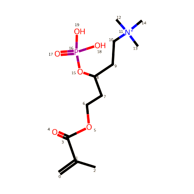 C=C(C)C(=O)OCCC(CC[N+](C)(C)C)OP(=O)(O)O